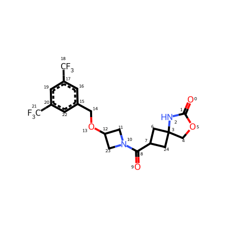 O=C1NC2(CO1)CC(C(=O)N1CC(OCc3cc(C(F)(F)F)cc(C(F)(F)F)c3)C1)C2